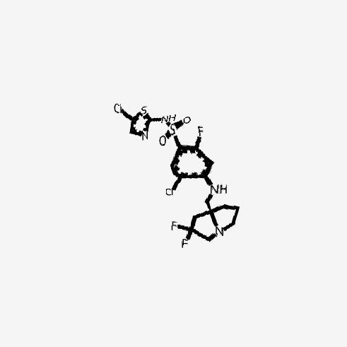 O=S(=O)(Nc1ncc(Cl)s1)c1cc(Cl)c(NC[C@@]23CCCN2CC(F)(F)C3)cc1F